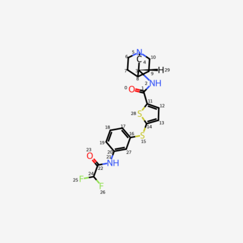 O=C(N[C@H]1CN2CCC1CC2)c1ccc(Sc2cccc(NC(=O)C(F)F)c2)s1